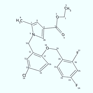 CCOC(=O)c1cc(C)n(Cc2cc(Cl)ccc2OCc2ccc(F)cc2F)c1